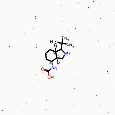 CC(C)(C)C1NC[C@H]2[C@@H]1CCC[C@H]2NC(=O)O